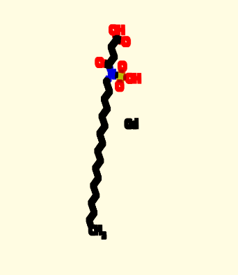 CCCCCCCCCCCCCCCCCCN(C(=O)CCC(=O)O)S(=O)(=O)O.[Gd]